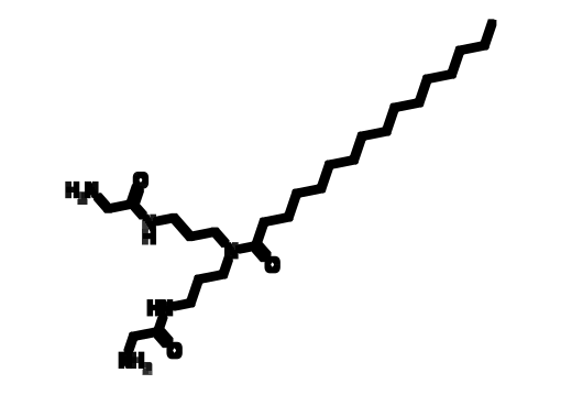 CCCCCCCCCCCCCCCC(=O)N(CCCNC(=O)CN)CCCNC(=O)CN